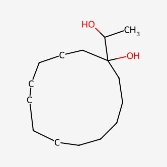 CC(O)C1(O)CCCCCCCCCCCC1